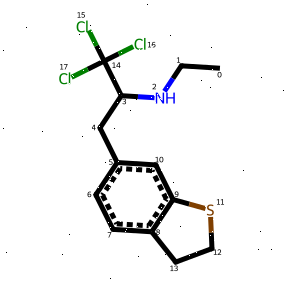 CCNC(Cc1ccc2c(c1)SCC2)C(Cl)(Cl)Cl